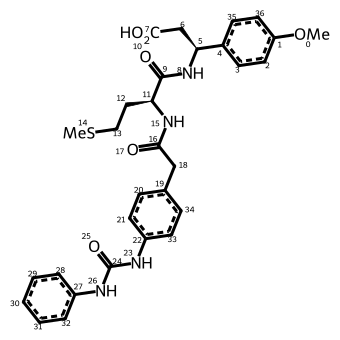 COc1ccc([C@H](CC(=O)O)NC(=O)[C@H](CCSC)NC(=O)Cc2ccc(NC(=O)Nc3ccccc3)cc2)cc1